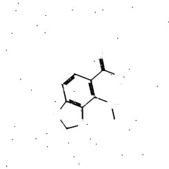 C[Se]c1c(C(=O)O)ccc2c1OCO2